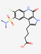 CN(C)S(=O)(=O)c1cc2c(cc1F)[nH]c(=O)c1[nH]cc(CCCC(=O)O)c12